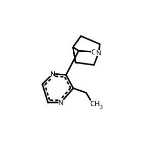 CCc1nccnc1C1CN2CCC1CC2